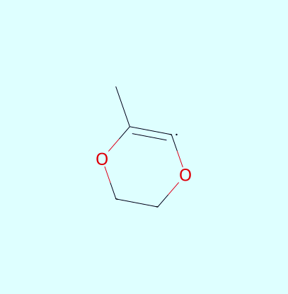 CC1=[C]OCCO1